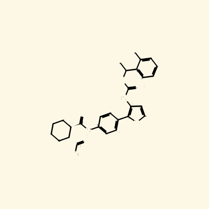 CC(OC(=O)Nc1ccsc1-c1ccc(NC(=O)[C@@H]2CCCC[C@H]2C(=O)O)cc1)c1ccccc1Cl